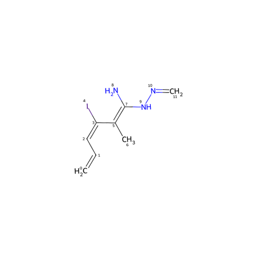 C=C/C=C(I)\C(C)=C(/N)NN=C